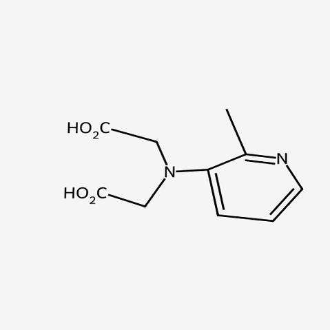 Cc1ncccc1N(CC(=O)O)CC(=O)O